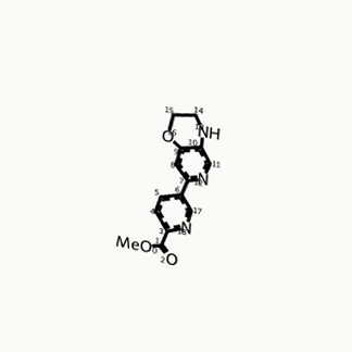 COC(=O)c1ccc(-c2cc3c(cn2)NCCO3)cn1